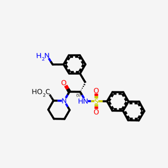 NCc1cccc(C[C@H](NS(=O)(=O)c2ccc3ccccc3c2)C(=O)N2CCCCC2C(=O)O)c1